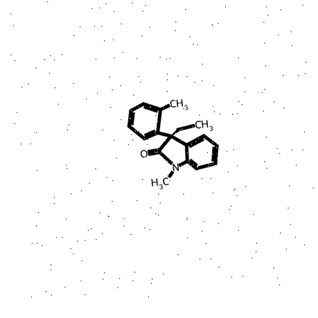 CC[C@]1(c2ccccc2C)C(=O)N(C)c2ccccc21